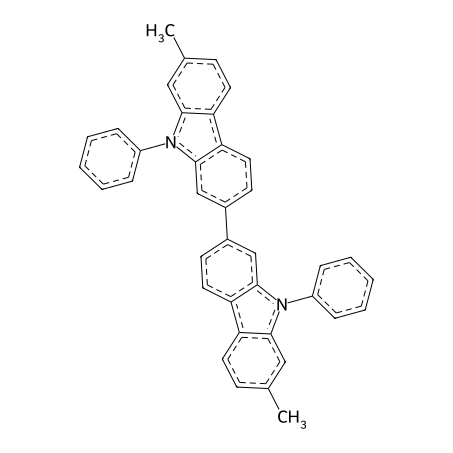 Cc1ccc2c3ccc(-c4ccc5c6ccc(C)cc6n(-c6ccccc6)c5c4)cc3n(-c3ccccc3)c2c1